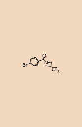 O=C(c1ccc(Br)cc1)N1CC(C(F)(F)F)C1